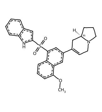 COc1cccc2c(S(=O)(=O)c3cc4ccccc4[nH]3)cc(C3=CCN4CCC[C@@H]4C3)cc12